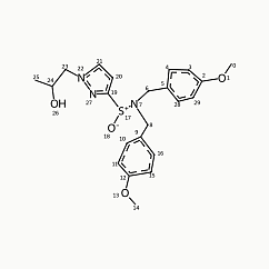 COc1ccc(CN(Cc2ccc(OC)cc2)[S+]([O-])c2ccn(CC(C)O)n2)cc1